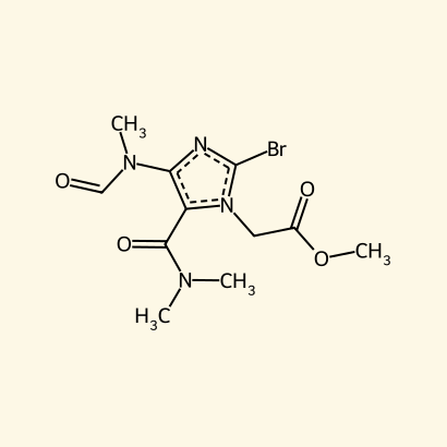 COC(=O)Cn1c(Br)nc(N(C)C=O)c1C(=O)N(C)C